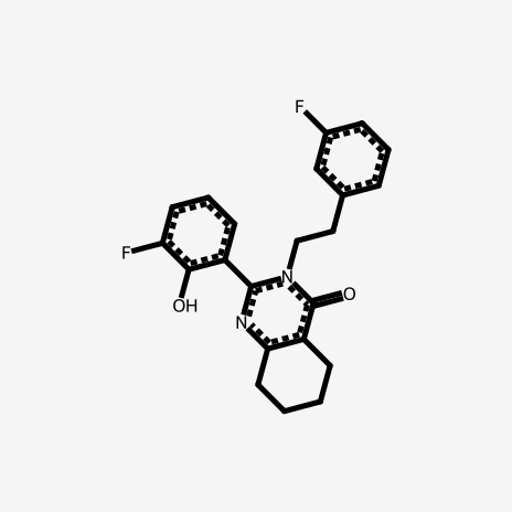 O=c1c2c(nc(-c3cccc(F)c3O)n1CCc1cccc(F)c1)CCCC2